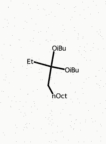 CCCCCCCCCC(CC)(OCC(C)C)OCC(C)C